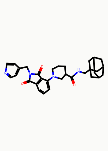 O=C(NCC12CC3CC(CC(C3)C1)C2)C1CCCN(c2cccc3c2C(=O)N(Cc2ccncc2)C3=O)C1